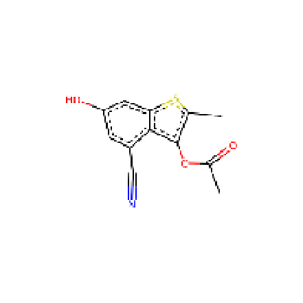 CC(=O)Oc1c(C)sc2cc(O)cc(C#N)c12